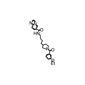 CCOc1cccc(C(=O)N2CCC(CCCCNC(=O)c3ccc4nccn4c3)CC2)c1